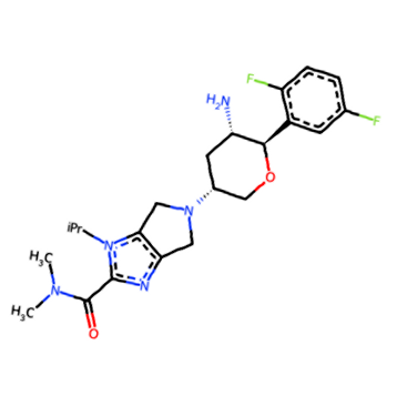 CC(C)n1c(C(=O)N(C)C)nc2c1CN([C@H]1CO[C@H](c3cc(F)ccc3F)[C@@H](N)C1)C2